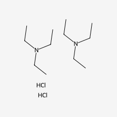 CCN(CC)CC.CCN(CC)CC.Cl.Cl